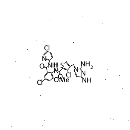 COc1cc(Cl)cc(C(=O)Nc2ccc(Cl)cn2)c1NC(=O)c1scc(Cn2ccc(=N)nc2N)c1Cl